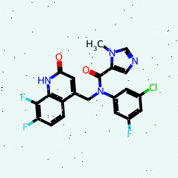 Cn1cncc1C(=O)N(Cc1cc(=O)[nH]c2c(F)c(F)ccc12)c1cc(F)cc(Cl)c1